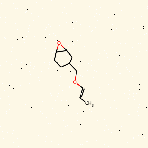 C/C=C/OCC1CCC2OC2C1